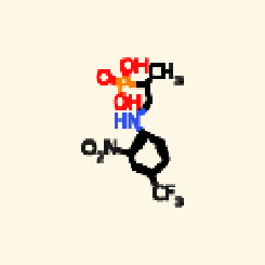 CC(CNc1ccc(C(F)(F)F)cc1[N+](=O)[O-])P(=O)(O)O